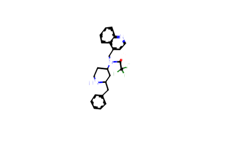 O=C(N(Cc1ccnc2ccccc12)C1CCNC(Cc2ccccc2)C1)C(F)(F)F